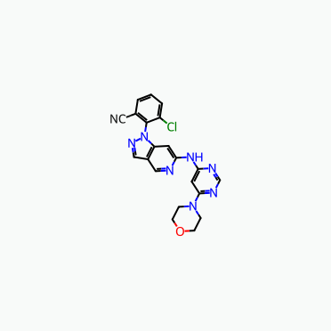 N#Cc1cccc(Cl)c1-n1ncc2cnc(Nc3cc(N4CCOCC4)ncn3)cc21